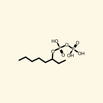 CCCCCC(CC)OP(=O)(O)OP(=O)(O)O